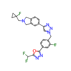 Fc1cc(-c2nnc(C(F)F)o2)ccc1Cn1cc(-c2ccc3c(c2)CN(CC2(F)CC2)C3)nn1